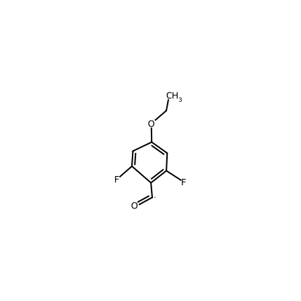 CCOc1cc(F)c([C]=O)c(F)c1